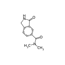 CN(C)C(=O)c1ccc2c(c1)C(=O)NC2